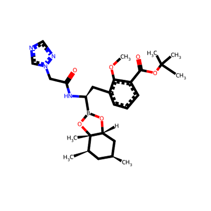 COc1c(C[C@H](NC(=O)Cn2cncn2)B2O[C@@H]3C[C@@H](C)C[C@@H](C)[C@]3(C)O2)cccc1C(=O)OC(C)(C)C